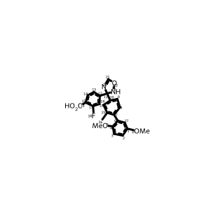 COc1ccc(OC)c(-c2ccc(C3(c4ccc(C(=O)O)c(F)c4)N=CON3)cc2C)c1